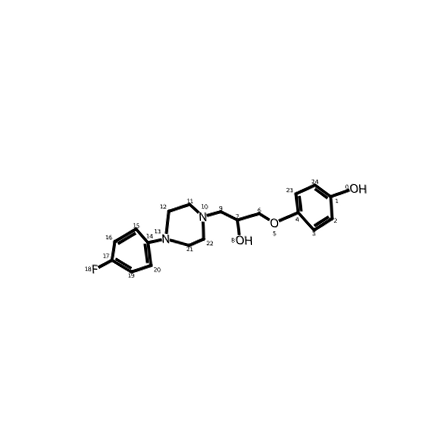 Oc1ccc(OCC(O)CN2CCN(c3ccc(F)cc3)CC2)cc1